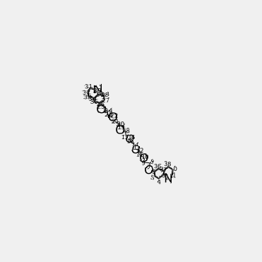 c1cnc2ccc(OCCOCCOCCOCCOCCOCCOc3ccc4ncccc4c3)cc2c1